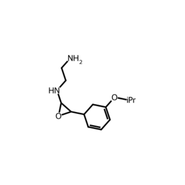 CC(C)OC1=CC=CC(C2OC2NCCN)C1